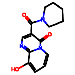 O=C(c1cnc2c(O)cccn2c1=O)N1CCCCC1